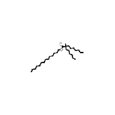 CCCCCCCCCCCCCCOC(=O)C(C)(CCCCCC)CCCCCCC